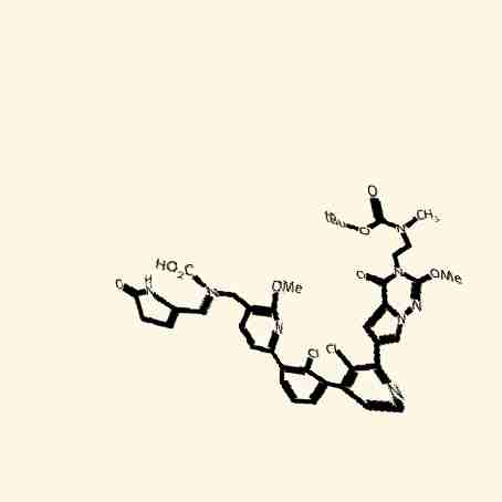 COc1nc(-c2cccc(-c3ccnc(-c4cc5c(=O)n(CCN(C)C(=O)OC(C)(C)C)c(OC)nn5c4)c3Cl)c2Cl)ccc1CN(CC1CCC(=O)N1)C(=O)O